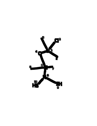 C[Si](C)(Cl)O[Si](C)(C)N(S)S